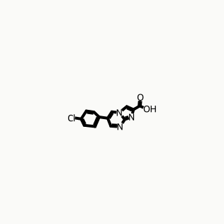 O=C(O)c1cn2cc(-c3ccc(Cl)cc3)cnc2n1